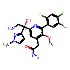 CCOc1c(CC(N)=O)cc([C@@](O)(CN)c2ccn(C)n2)nc1-c1cc(Cl)c(F)cc1F